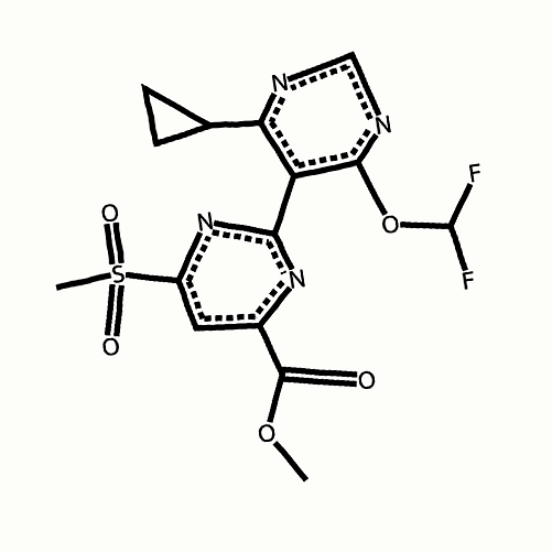 COC(=O)c1cc(S(C)(=O)=O)nc(-c2c(OC(F)F)ncnc2C2CC2)n1